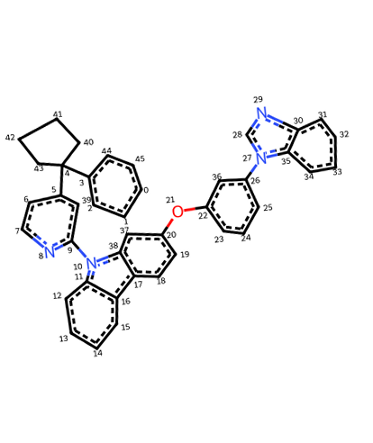 c1ccc(C2(c3ccnc(-n4c5ccccc5c5ccc(Oc6cccc(-n7cnc8ccccc87)c6)cc54)c3)CCCC2)cc1